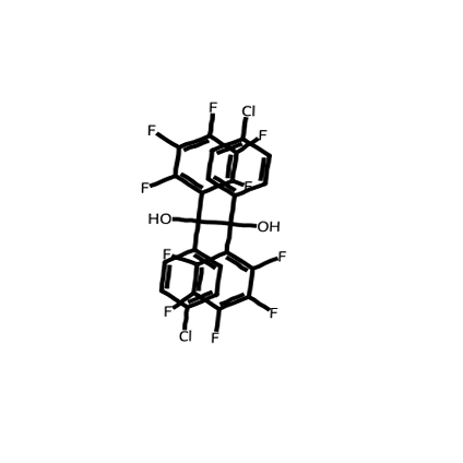 OC(c1ccc(Cl)cc1)(c1c(F)c(F)c(F)c(F)c1F)C(O)(c1ccc(Cl)cc1)c1c(F)c(F)c(F)c(F)c1F